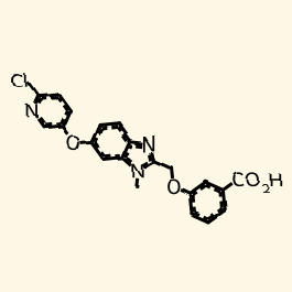 Cn1c(COc2cccc(C(=O)O)c2)nc2ccc(Oc3ccc(Cl)nc3)cc21